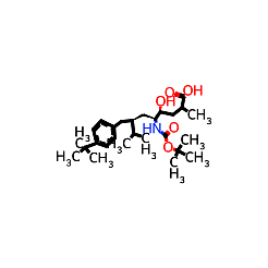 CC(C[C@H](O)[C@H](C[C@H](Cc1ccc(C(C)(C)C)cc1)C(C)C)NC(=O)OC(C)(C)C)C(=O)O